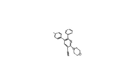 C#Cc1cc(-c2ccc(C)cc2)c(-c2ccccc2)nc1N1CCOCC1